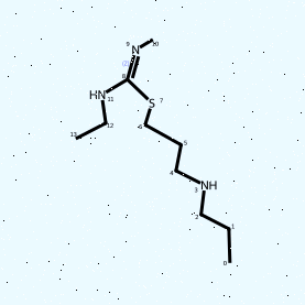 CCCNCCCS/C(=N\C)NCC